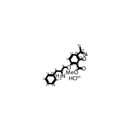 COC(=O)c1c(OCC(N)Cc2ccccc2)ccc2c(C)noc12.Cl